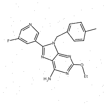 CCOc1nc(N)c2nc(-c3cncc(F)c3)n(Cc3ccc(C)cc3)c2n1